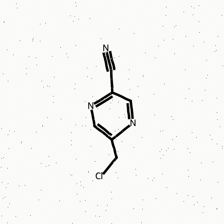 N#Cc1cnc(CCl)cn1